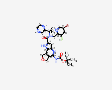 CC(c1cnccn1)N(Cc1ncc(Br)cc1F)C(=O)c1cc2nc(NC(=O)OC(C)(C)C)c3c(c2[nH]1)COC3